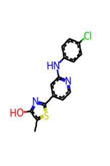 Cc1sc(-c2ccnc(Nc3ccc(Cl)cc3)c2)nc1O